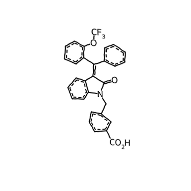 O=C(O)c1cccc(CN2C(=O)/C(=C(\c3ccccc3)c3ccccc3OC(F)(F)F)c3ccccc32)c1